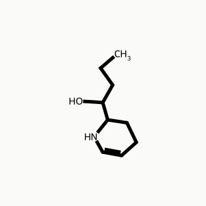 CCCC(O)C1CCC=CN1